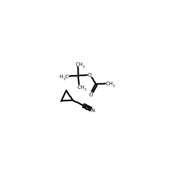 CC(=O)OC(C)(C)C.N#CC1CC1